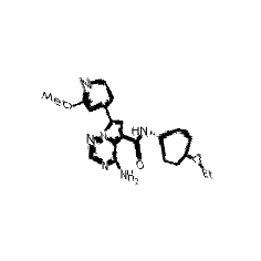 CCO[C@H]1CC[C@H](NC(=O)c2cc(-c3ccnc(OC)c3)n3ncnc(N)c23)CC1